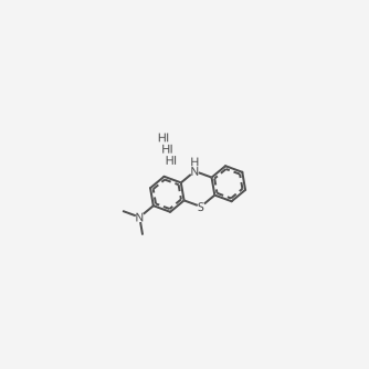 CN(C)c1ccc2c(c1)Sc1ccccc1N2.I.I.I